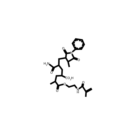 C=C(C)C(=O)NCCOC(=O)C(C)CC(CC(CC1C(=O)N(c2ccccc2)C(=O)C1C)C(N)=O)C(=O)O